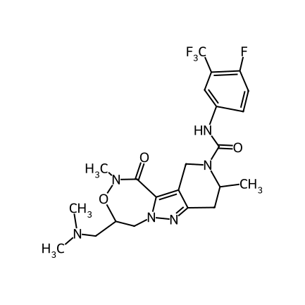 CC1Cc2nn3c(c2CN1C(=O)Nc1ccc(F)c(C(F)(F)F)c1)C(=O)N(C)OC(CN(C)C)C3